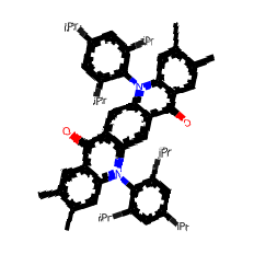 Cc1cc2c(=O)c3cc4c(cc3n(-c3c(C(C)C)cc(C(C)C)cc3C(C)C)c2cc1C)c(=O)c1cc(C)c(C)cc1n4-c1c(C(C)C)cc(C(C)C)cc1C(C)C